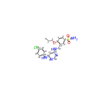 CCCOc1ccc(S(N)(=O)=O)cc1CNc1cc(Nc2ccc(Cl)cc2)ncn1